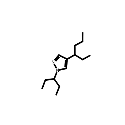 CCCC(CC)c1cnn(C(CC)CC)c1